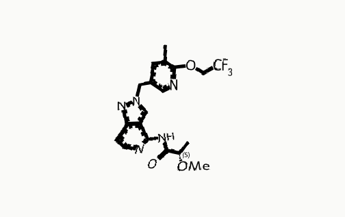 CO[C@@H](C)C(=O)Nc1nccc2nn(Cc3cnc(OCC(F)(F)F)c(C)c3)cc12